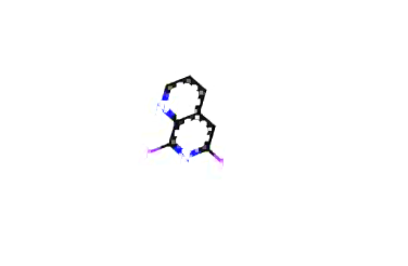 Ic1cc2cccnc2c(I)n1